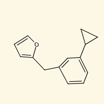 c1cc(Cc2ccco2)cc(C2CC2)c1